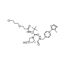 Cc1ncsc1-c1ccc(CNC(=O)[C@@H]2C[C@@H](O)CN2C(=O)[C@@H](NC(=O)CCOCCCCl)C(C)(C)C)cc1